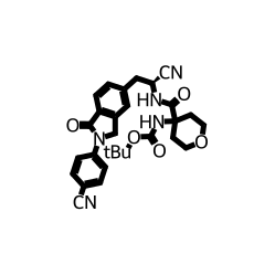 CC(C)(C)OC(=O)NC1(C(=O)N[C@H](C#N)Cc2ccc3c(c2)CN(c2ccc(C#N)cc2)C3=O)CCOCC1